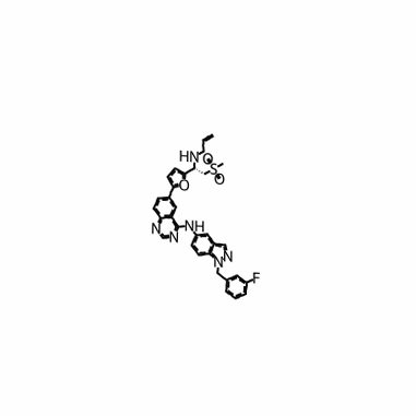 C=CCN[C@H](CS(C)(=O)=O)c1ccc(-c2ccc3ncnc(Nc4ccc5c(cnn5Cc5cccc(F)c5)c4)c3c2)o1